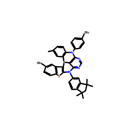 Cc1ccc2c(c1)B1c3c(ncnc3N(c3ccc4c(c3)C(C)(C)CC4(C)C)c3sc4ccc(C(C)(C)C)cc4c31)N2c1ccc(C(C)(C)C)cc1